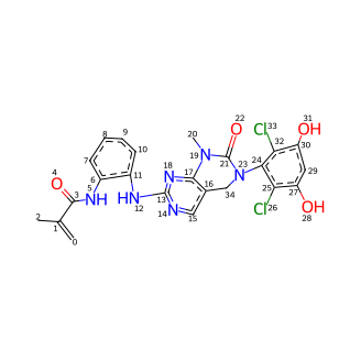 C=C(C)C(=O)Nc1ccccc1Nc1ncc2c(n1)N(C)C(=O)N(c1c(Cl)c(O)cc(O)c1Cl)C2